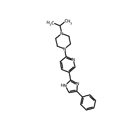 CC(C)N1CCN(c2ccc(-c3nc(-c4ccccc4)c[nH]3)cn2)CC1